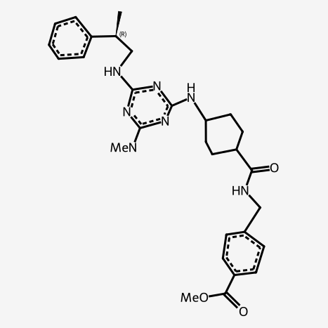 CNc1nc(NC[C@H](C)c2ccccc2)nc(NC2CCC(C(=O)NCc3ccc(C(=O)OC)cc3)CC2)n1